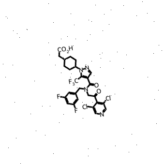 O=C(O)CC1CCC(n2ncc(C(=O)N(CC(=O)c3c(Cl)cncc3Cl)Cc3cc(F)cc(F)c3)c2C(F)(F)F)CC1